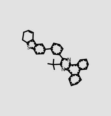 CC(C)(C)c1nc2c3ccccc3c3ccccc3c2nc1-c1cccc(-c2ccc3sc4c(c3c2)C=CCC4)c1